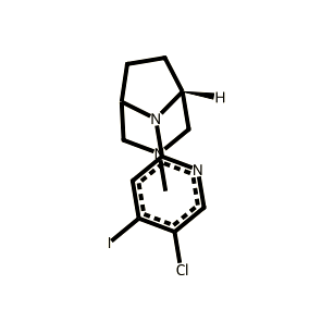 CN1CC2CC[C@H](C1)N2c1cc(I)c(Cl)cn1